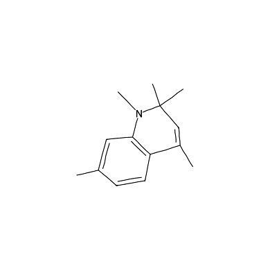 CC1=CC(C)(C)N(C)c2cc(C)ccc21